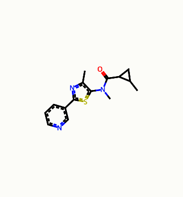 Cc1nc(-c2cccnc2)sc1N(C)C(=O)C1CC1C